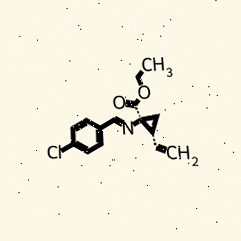 C=C[C@H]1C[C@@]1(/N=C/c1ccc(Cl)cc1)C(=O)OCC